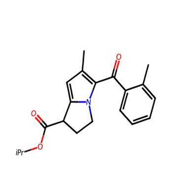 Cc1ccccc1C(=O)c1c(C)cc2n1CCC2C(=O)OC(C)C